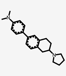 CN(C)c1ccc(-c2ccc3c(c2)CCC(N2CCCC2)C3)cc1